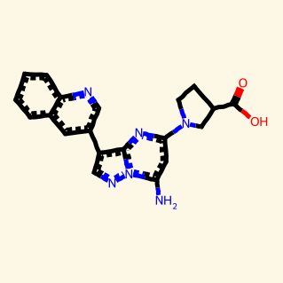 Nc1cc(N2CCC(C(=O)O)C2)nc2c(-c3cnc4ccccc4c3)cnn12